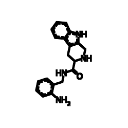 Nc1ccccc1CNC(=O)C1Cc2c([nH]c3ccccc23)CN1